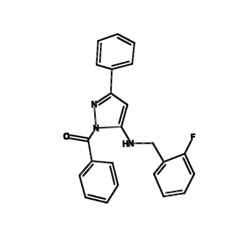 O=C(c1ccccc1)n1nc(-c2ccccc2)cc1NCc1ccccc1F